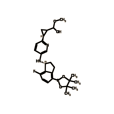 COC(O)C1C[C@@H]1c1ccc(N[C@@H]2CCc3c(B4OC(C)(C)C(C)(C)O4)ccc(F)c32)cn1